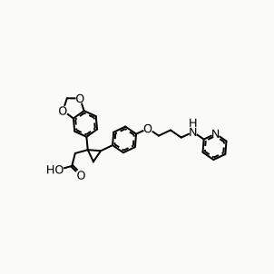 O=C(O)CC1(c2ccc3c(c2)OCO3)CC1c1ccc(OCCCNc2ccccn2)cc1